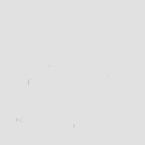 CCCCC(CC)C(CC)OC(=O)C1CCCCC1C(=O)O